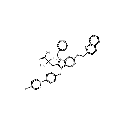 CC(C)(Cc1c(Sc2ccc(-c3ccc(F)cn3)cc2)c2ccc(OCc3ccc4ccccc4n3)cc2n1Cc1ccccc1)C(=O)O